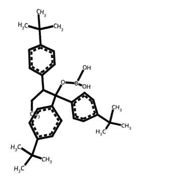 CCC(c1ccc(C(C)(C)C)cc1)C(OB(O)O)(c1ccc(C(C)(C)C)cc1)c1ccc(C(C)(C)C)cc1